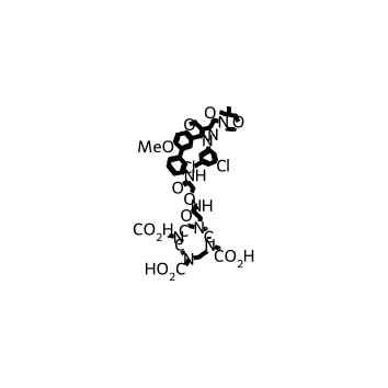 COc1cc2c(cc1-c1cccc(NC(=O)CONC(=O)CN3CCN(CC(=O)O)CCN(CC(=O)O)CCN(CC(=O)O)CC3)c1)-c1c(c(C(=O)N3CCOCC3(C)C)nn1-c1cc(Cl)cc(Cl)c1)CO2